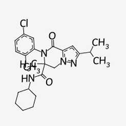 Cc1ccc(Cl)cc1N1C(=O)c2cc(C(C)C)nn2CC1(C)C(=O)NC1CCCCC1